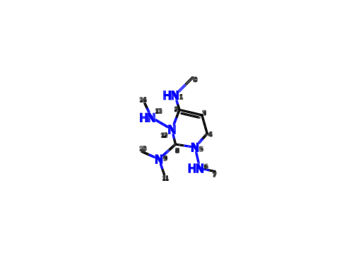 CNC1=CCN(NC)C(N(C)C)N1NC